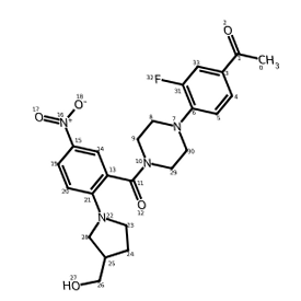 CC(=O)c1ccc(N2CCN(C(=O)c3cc([N+](=O)[O-])ccc3N3CCC(CO)C3)CC2)c(F)c1